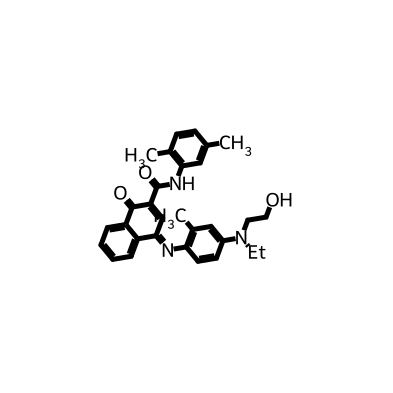 CCN(CCO)c1ccc(N=C2C=C(C(=O)Nc3cc(C)ccc3C)C(=O)c3ccccc32)c(C)c1